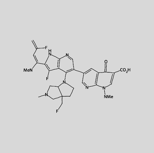 C=C(F)/C=C(/NC)c1[nH]c2ncc(-c3cnc4c(c3)c(=O)c(C(=O)O)cn4NC)c(N3CCC4(CF)CN(C)CC34)c2c1F